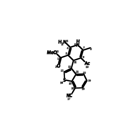 COC(=O)C1=C(N)NC(C)=C(C(C)=O)C1c1csc2c(C#N)cccc12